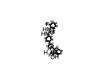 CC1C2(C(=O)O)CC3CC(C2)CC1(c1ncc(-c2ccc(NC(=O)Nc4c(F)cccc4F)cc2)s1)C3